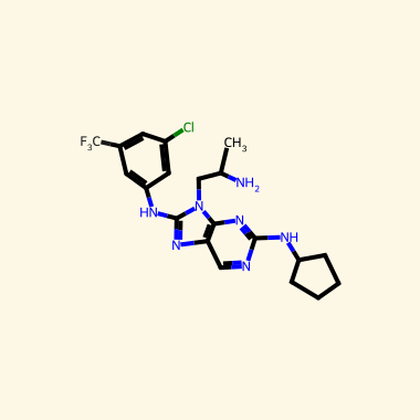 CC(N)Cn1c(Nc2cc(Cl)cc(C(F)(F)F)c2)nc2cnc(NC3CCCC3)nc21